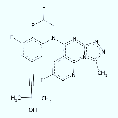 Cc1nnc2nc(N(CC(F)F)c3cc(F)cc(C#CC(C)(C)O)c3)c3cc(F)cnc3n12